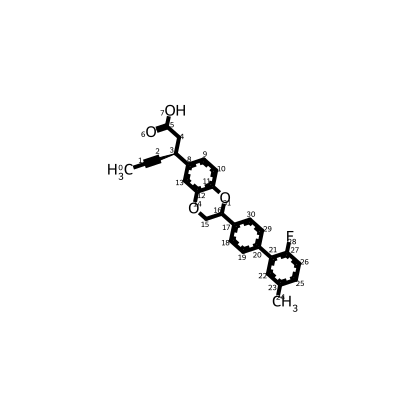 CC#C[C@@H](CC(=O)O)c1ccc2c(c1)OCC(c1ccc(-c3cc(C)ccc3F)cc1)O2